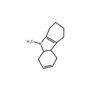 CN1C2=C(CCCC2)C2CC=CCC21